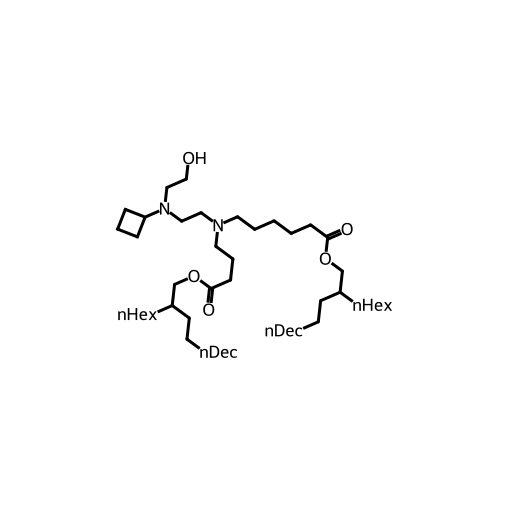 CCCCCCCCCCCCC(CCCCCC)COC(=O)CCCCCN(CCCC(=O)OCC(CCCCCC)CCCCCCCCCCCC)CCN(CCO)C1CCC1